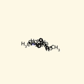 CCOc1cc(C(=O)Nc2nc3cccc(C)c3n2C2CCCCN(C(=O)/C=C/CN(C)C)C2)ccn1